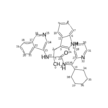 CC(Cc1c[nH]c2ccccc12)(Nc1cncc2ccccc12)C(=O)NC(c1ccccn1)C1CCCCC1